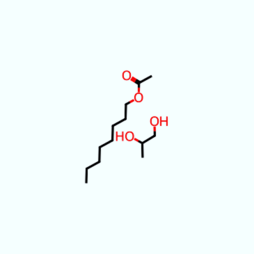 CC(O)CO.CCCCCCCCOC(C)=O